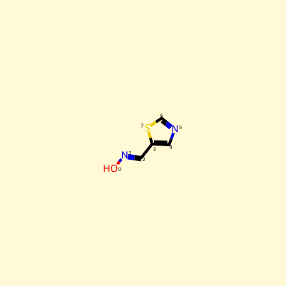 ON=Cc1cncs1